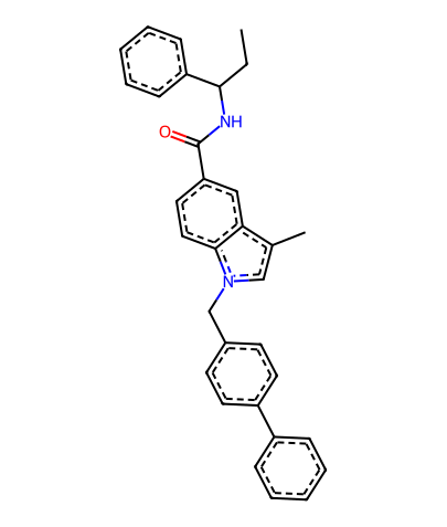 CCC(NC(=O)c1ccc2c(c1)c(C)cn2Cc1ccc(-c2ccccc2)cc1)c1ccccc1